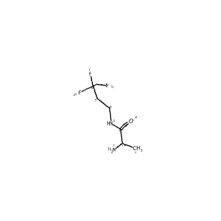 CC(N)C(=O)NCCC(F)(F)F